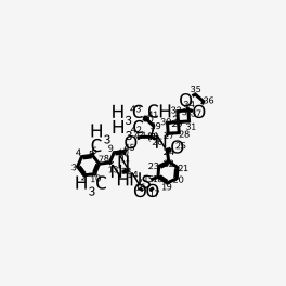 Cc1cccc(C)c1-c1cc2nc(n1)NS(=O)(=O)c1cccc(c1)C(=O)N(C1CC3(C1)CC1(C3)OCCO1)[C@H](CC(C)(C)C)CO2